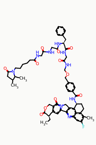 CC[C@H]1C(=O)OCc2c1cc1n(c2=O)Cc2c-1nc1cc(F)c(C)c3c1c2[C@@H](NC(=O)c1ccc(COCNC(=O)CNC(=O)[C@H](Cc2ccccc2)NC(=O)CNC(=O)CNC(=O)CCCCCN2C(=O)CC(C)C2C)cc1)CC3